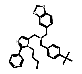 CCCCn1c(CN(Cc2ccc(C(C)(C)C)cc2)Cc2ccc3c(c2)OCO3)cnc1-c1ccccc1